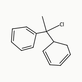 CC(Cl)(c1ccccc1)C1C=CC=CC1